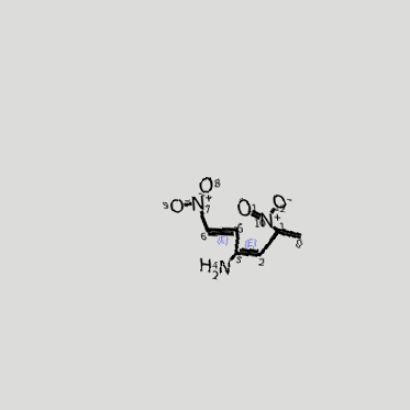 C=C(/C=C(N)\C=C\[N+](=O)[O-])[N+](=O)[O-]